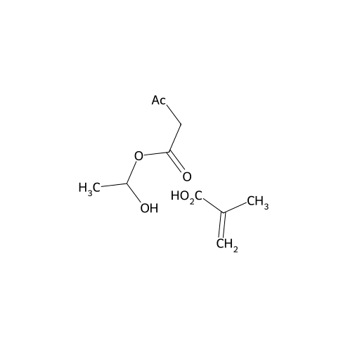 C=C(C)C(=O)O.CC(=O)CC(=O)OC(C)O